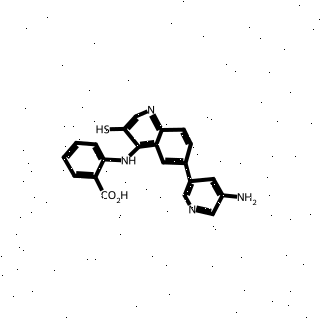 Nc1cncc(-c2ccc3ncc(S)c(Nc4ccccc4C(=O)O)c3c2)c1